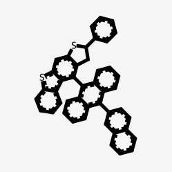 c1ccc(C2Cc3c(cc4sc5ccccc5c4c3-c3c4ccccc4c(-c4ccc5ccccc5c4)c4ccccc34)S2)cc1